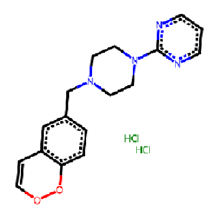 C1=Cc2cc(CN3CCN(c4ncccn4)CC3)ccc2OO1.Cl.Cl